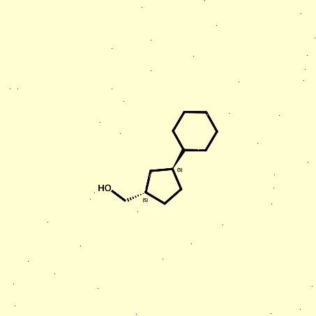 OC[C@H]1CC[C@H](C2CCCCC2)C1